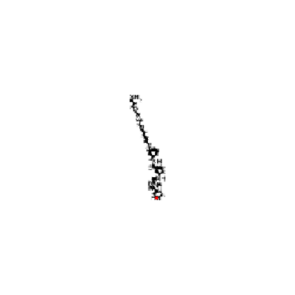 Cn1c(CNc2cccc(C(=O)NCc3cccc(OCCCCCCOCCOCCOCCCN)c3)c2)nnc1C1CCNCN1